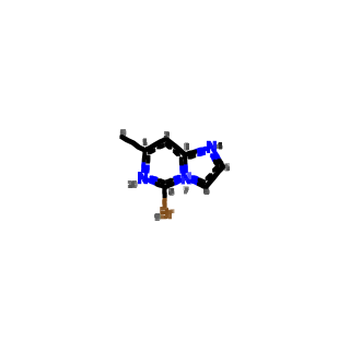 Cc1cc2nccn2c(Br)n1